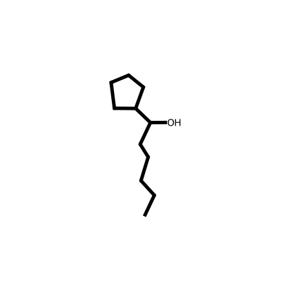 CCCCCC(O)C1CCCC1